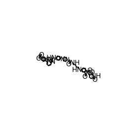 CS(=O)(=O)c1ccc(C2=CC=CC3=NC(Nc4ccc(N5CCN(CC(=O)NCCCCNc6ccc7c(c6)C(=O)N(C6CCC(=O)NC6=O)C7=O)CC5)cc4)NN23)cc1